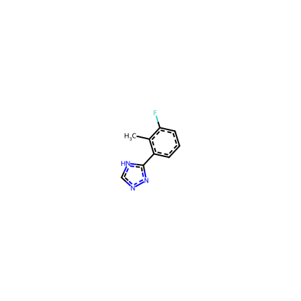 Cc1c(F)cccc1-c1nnc[nH]1